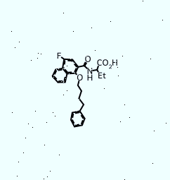 CCC(NC(=O)c1cc(F)c2ccccc2c1OCCCCc1ccccc1)C(=O)O